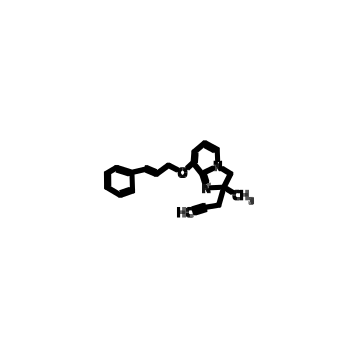 C#CCC1(C)CN2C=CC=C(OCC=Cc3ccccc3)C2=N1